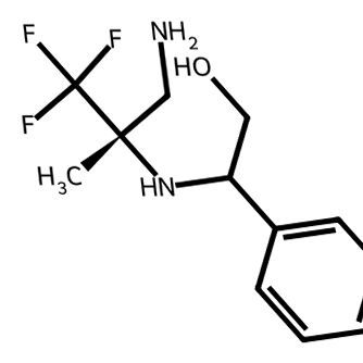 C[C@@](CN)(NC(CO)c1ccccc1)C(F)(F)F